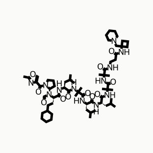 Cc1nc(C(=O)N2CCC[C@H]2N(C=O)[C@@H](CCC2CCCCC2)C(=O)N[C@@H](CC(C)C)C(=O)NC(C)(C)C(=O)N[C@@H](CC(C)C)C(=O)N[C@@H](CC(C)C)C(=O)NC(C)(C)C(=O)NC(C)(C)C(=O)NCCC(=O)NC2(CN3CCCCC3)CCC2)co1